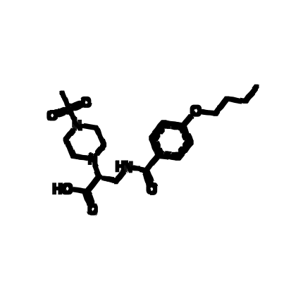 CCCCOc1ccc(C(=O)NC[C@@H](C(=O)O)N2CCN(S(C)(=O)=O)CC2)cc1